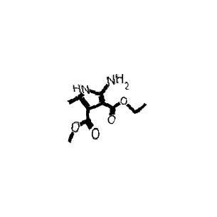 CCOC(=O)c1c(N)[nH]c(C)c1C(=O)OC